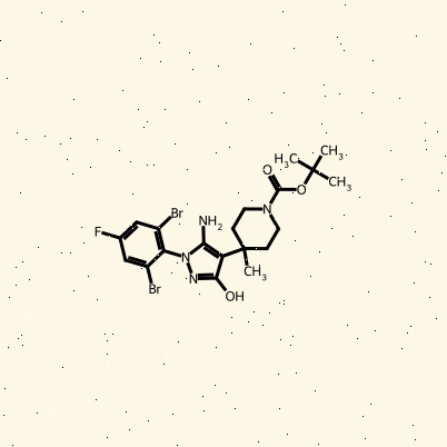 CC(C)(C)OC(=O)N1CCC(C)(c2c(O)nn(-c3c(Br)cc(F)cc3Br)c2N)CC1